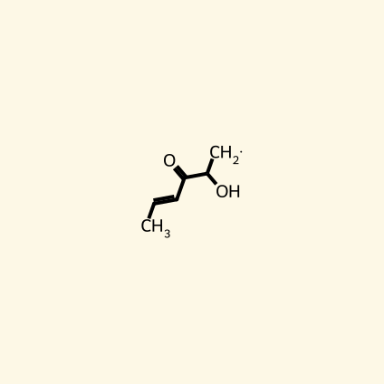 [CH2]C(O)C(=O)C=CC